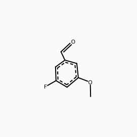 COc1cc(F)cc(C=O)c1